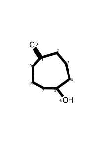 O=C1CCCC(O)CCC1